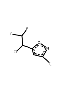 FC(F)C(Cl)c1cc(Cl)no1